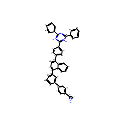 c1ccc(-c2nc(-c3ccccc3)nc(-c3ccc(-c4ccc(-c5cccc(-c6ccc(C7CN7)cc6)c5)c5ccccc45)cc3)n2)cc1